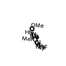 CNc1nc(N[C@H]2CC[C@@H](OC)CC2)nn2ccc(-c3ccc4nc(C)n(CC(F)F)c4n3)c12